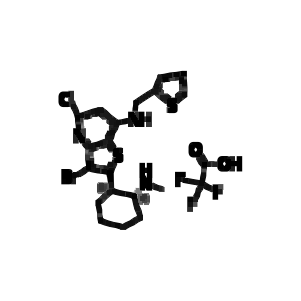 CN[C@@H]1CCCC[C@H]1c1sc2c(NCc3cccs3)cc(Cl)nc2c1Br.O=C(O)C(F)(F)F